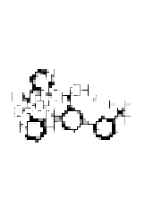 CN(C)[C@H]1C[C@@H](c2cccc(C(F)(F)F)c2)CC[C@@H]1Nc1cccnc1S(=O)(=O)Nc1ccncn1